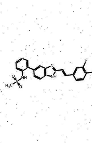 CS(=O)(=O)Nc1ccccc1-c1ccc2[nH]c(C=Cc3ccc(F)c(F)c3)nc2c1